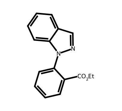 CCOC(=O)c1ccccc1-n1ncc2ccccc21